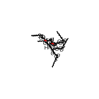 CCCCCCCCSCC(C)C(=O)OCCCOC(=O)CCN(CCNCCN(CCC(=O)CCCOC(=O)C(C)CSCCCCCCCC)CCC(=O)OCCOC(=O)C(C)CSCCCCCCCC)CCNCCN(CCC(=O)OCCOC(=O)C(C)CSCCCCCCCC)CCC(=O)OCCOC(=O)C(C)CSCCCCCCCC